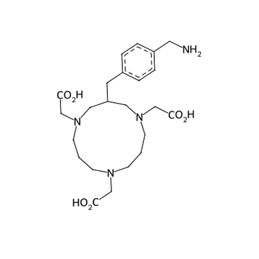 NCc1ccc(CC2CN(CC(=O)O)CCCN(CC(=O)O)CCCN(CC(=O)O)C2)cc1